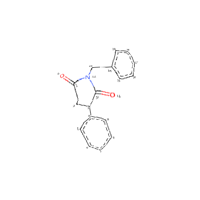 O=C1CC(c2ccccc2)C(=O)N1Cc1ccccc1